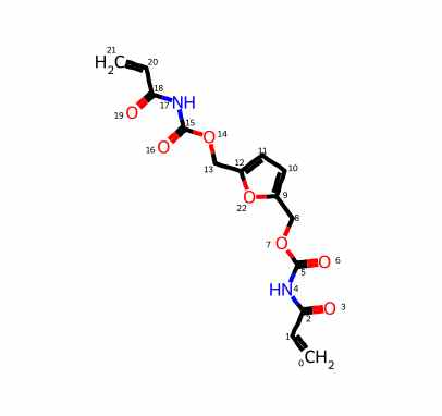 C=CC(=O)NC(=O)OCc1ccc(COC(=O)NC(=O)C=C)o1